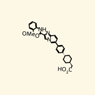 COc1ccccc1NC(=O)c1cn2cc(-c3ccc([C@H]4CC[C@H](CC(=O)O)CC4)cc3)ccc2n1